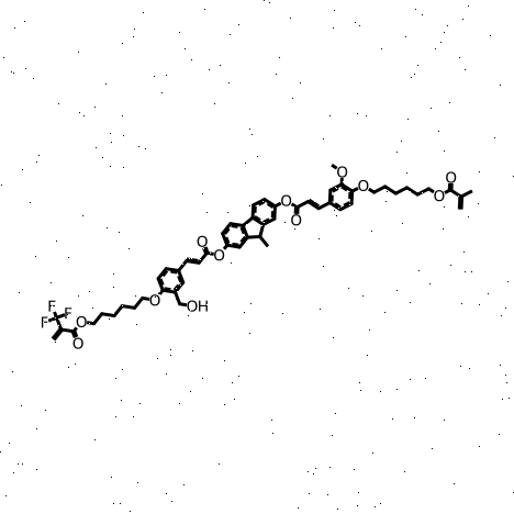 C=C(C)C(=O)OCCCCCCOc1ccc(C=CC(=O)Oc2ccc3c(c2)C(C)c2cc(OC(=O)C=Cc4ccc(OCCCCCCOC(=O)C(=C)C(F)(F)F)c(CO)c4)ccc2-3)cc1OC